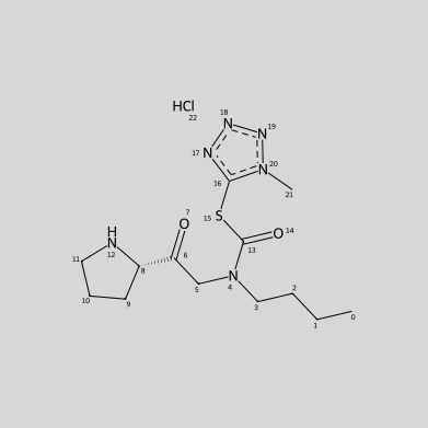 CCCCN(CC(=O)[C@@H]1CCCN1)C(=O)Sc1nnnn1C.Cl